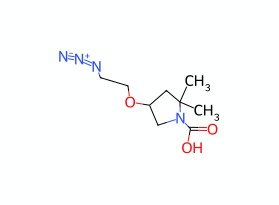 CC1(C)CC(OCCN=[N+]=[N-])CN1C(=O)O